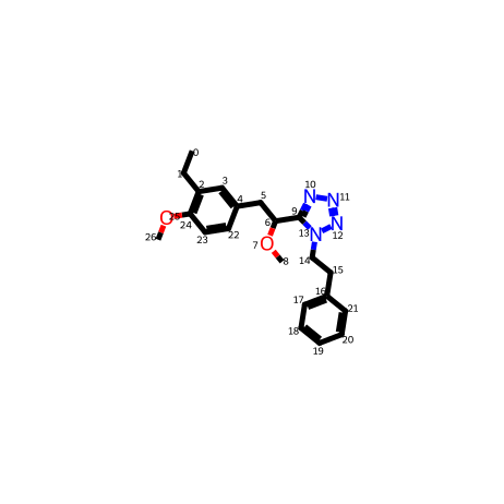 CCc1cc(CC(OC)c2nnnn2CCc2ccccc2)ccc1OC